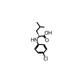 CC(C)C[C@H](Nc1ccc(Cl)cc1)C(=O)O